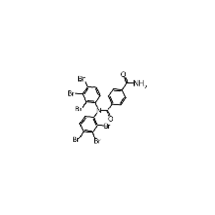 NC(=O)c1ccc(C(=O)N(c2ccc(Br)c(Br)c2Br)c2ccc(Br)c(Br)c2Br)cc1